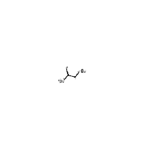 [CH2]C(CCCCC)C(C)(C)C